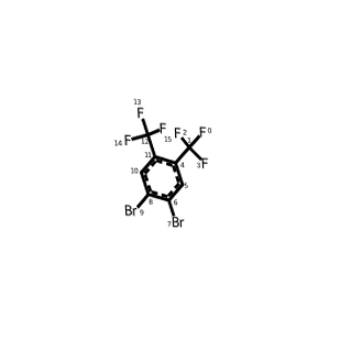 FC(F)(F)c1cc(Br)c(Br)cc1C(F)(F)F